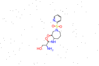 N[C@@H](CO)C(=O)NC1CCCN(S(=O)(=O)c2ccccn2)CC1=O